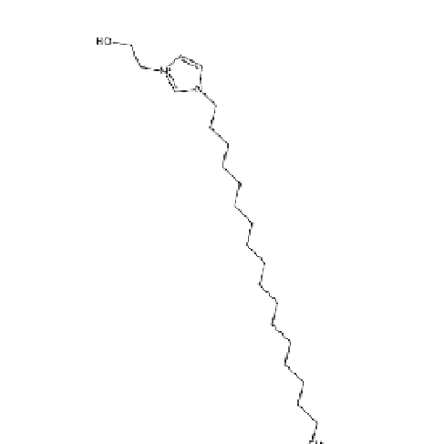 CCCCCCCCCCCCCCCCCCn1cc[n+](CCO)c1